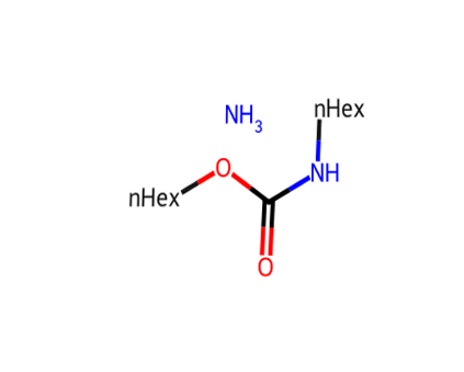 CCCCCCNC(=O)OCCCCCC.N